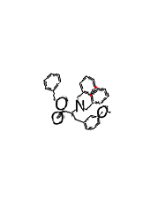 COc1cccc(CC(C(=O)OCc2ccccc2)N(Cc2ccccc2)Cc2ccccc2)c1